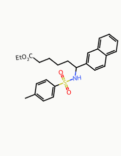 CCOC(=O)CCCCC(NS(=O)(=O)c1ccc(C)cc1)c1ccc2ccccc2c1